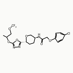 CC(COC(F)(F)F)Oc1nnc([C@H]2CC[C@H](NC(=O)COc3ccc(Cl)cc3)CO2)o1